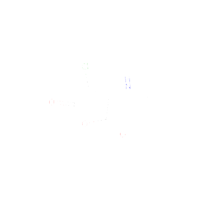 CCNC1=C(Cl)C(=O)OC1OC